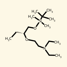 CC[C@H](CO[Si](C)(C)C(C)(C)C)OCCN(CC)CC